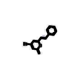 C=C1C=C(CC)C=C(/C=C/c2ccccc2)O1